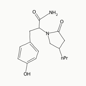 CCCC1CC(=O)N(C(Cc2ccc(O)cc2)C(N)=O)C1